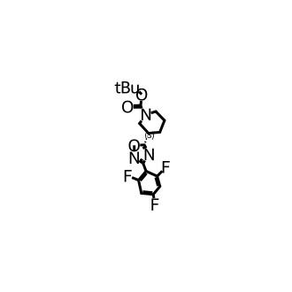 CC(C)(C)OC(=O)N1CCC[C@H](c2nc(-c3c(F)cc(F)cc3F)no2)C1